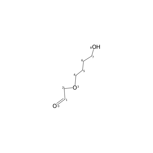 O=C[CH]OCCCCO